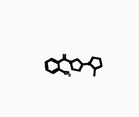 CC1CCCN1C1CCN(Nc2ccccc2C(F)(F)F)C1